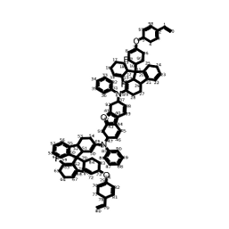 C=CC1=CCC(OC2=CCC(C3(C4C(F)=CCCC4F)C4=C(C=CCC4)C4CCC(N(c5ccccc5)C5C=Cc6c(oc7c6C=CC(N(C6=CC8C(CC6)c6ccccc6C8(C6=C(F)CCC=C6F)C6C=CC(OC8=CCC(C=C)C=C8)CC6)c6ccccc6)C7)C5)=CC43)CC2)C=C1